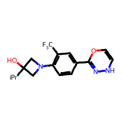 CC(C)C1(O)CN(c2ccc(C3=NNC=CO3)cc2C(F)(F)F)C1